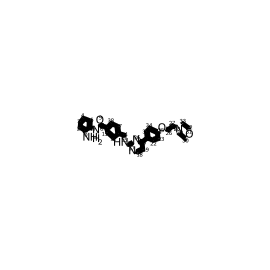 Nc1ccccc1NC(=O)c1ccc(CNc2nccc(-c3ccc(OCCN4CCOCC4)cc3)n2)cc1